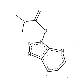 C=C(On1nnc2cccnc21)N(C)C